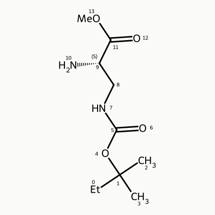 CCC(C)(C)OC(=O)NC[C@H](N)C(=O)OC